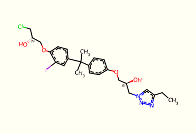 CCc1cn(C[C@H](O)COc2ccc(C(C)(C)c3ccc(OC[C@H](O)CCl)c(I)c3)cc2)nn1